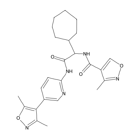 Cc1nocc1C(=O)NC(C(=O)Nc1ccc(-c2c(C)noc2C)cn1)C1CCCCCC1